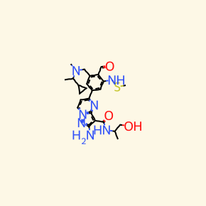 CSNc1cc(-c2ccn3nc(N)c(C(=O)NC(C)CO)c3n2)cc(CN(C)C(C)C2CC2)c1C=O